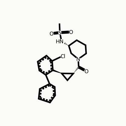 CS(=O)(=O)N[C@@H]1CCCN(C(=O)[C@@H]2C[C@H]2c2c(Cl)cccc2-c2ccccc2)C1